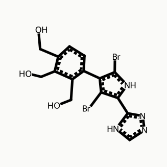 OCc1ccc(-c2c(Br)[nH]c(-c3nnc[nH]3)c2Br)c(CO)c1CO